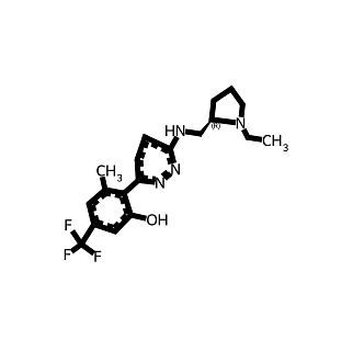 CCN1CCC[C@@H]1CNc1ccc(-c2c(C)cc(C(F)(F)F)cc2O)nn1